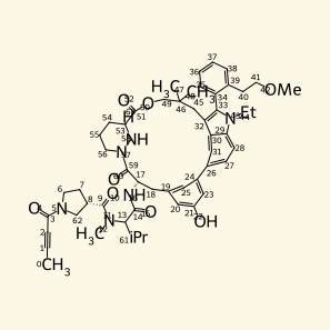 CC#CC(=O)N1CC[C@H](C(=O)N(C)C(C(=O)N[C@H]2Cc3cc(O)cc(c3)-c3ccc4c(c3)c(c(-c3ccccc3CCOC)n4CC)CC(C)(C)COC(=O)[C@@H]3CCCN(N3)C2=O)C(C)C)C1